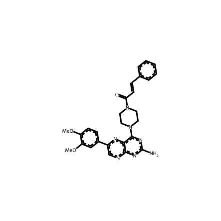 COc1ccc(-c2cnc3nc(N)nc(N4CCN(C(=O)C=Cc5ccccc5)CC4)c3n2)cc1OC